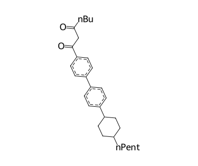 CCCCCC1CCC(c2ccc(-c3ccc(C(=O)CC(=O)CCCC)cc3)cc2)CC1